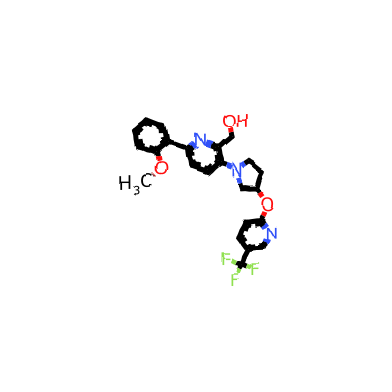 COc1ccccc1-c1ccc(N2CCC(Oc3ccc(C(F)(F)F)cn3)C2)c(CO)n1